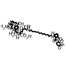 CC(CNCCCCCCCCCCCCCCNc1cccc2c1C(=O)N(C1CCC(=O)NC1=O)C2=O)C(=O)CC[C@H](NC(C)(C)C(=O)c1ccc(N(C)Cc2cnc3nc(N)nc(N)c3n2)cc1)C(=O)O